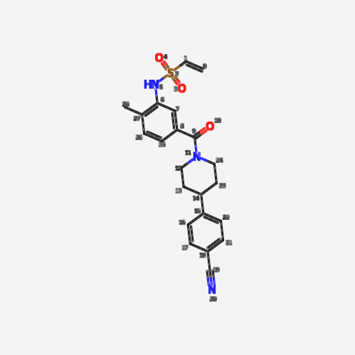 C=CS(=O)(=O)Nc1cc(C(=O)N2CCC(c3ccc(C#N)cc3)CC2)ccc1C